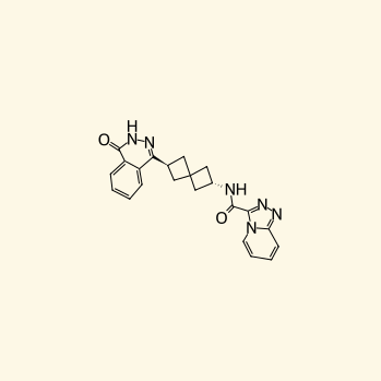 O=C(N[C@H]1CC2(C1)C[C@H](c1n[nH]c(=O)c3ccccc31)C2)c1nnc2ccccn12